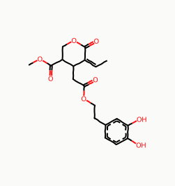 C/C=C1\C(=O)OCC(C(=O)OC)C1CC(=O)OCCc1ccc(O)c(O)c1